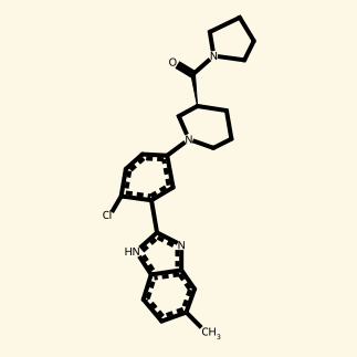 Cc1ccc2[nH]c(-c3cc(N4CCC[C@H](C(=O)N5CCCC5)C4)ccc3Cl)nc2c1